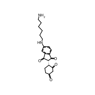 NCCCCCCNc1ccc2c(c1)C(=O)[C@@H](C1CCC(=O)CC1=O)C2=O